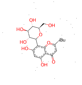 CCC(C)c1cc(=O)c2c(O)cc(O)c(C3O[C@H](CO)[C@@H](O)[C@H](O)[C@H]3O)c2o1